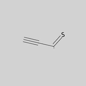 C#C[C]=S